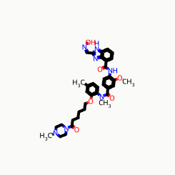 COc1cc(C(=O)N(C)c2ccc(C)cc2OCCCCCC(=O)N2CCN(C)CC2)ccc1NC(=O)c1cccc2[nH]c(/C=N\O)nc12